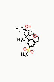 [CH2]C(O)(CC(C)(C)c1cc(S(C)(=O)=O)cc2c1OCC2)C(F)(F)F